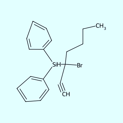 C#CC(Br)(CCCC)[SiH](c1ccccc1)c1ccccc1